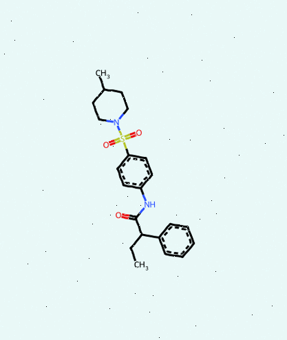 CCC(C(=O)Nc1ccc(S(=O)(=O)N2CCC(C)CC2)cc1)c1ccccc1